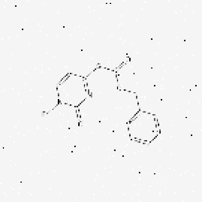 CC(C)n1ccc(SC(=O)OCc2ccccc2)nc1=O